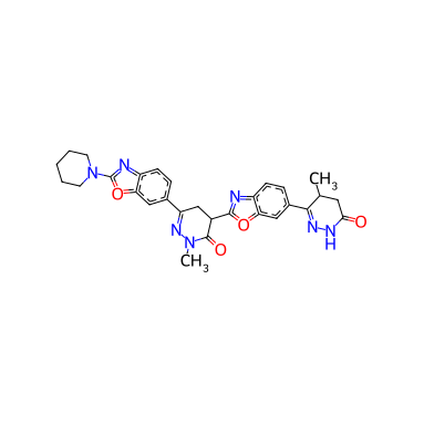 CC1CC(=O)NN=C1c1ccc2nc(C3CC(c4ccc5nc(N6CCCCC6)oc5c4)=NN(C)C3=O)oc2c1